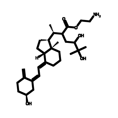 C=C1CC[C@H](O)C/C1=C/C=C1\CCC[C@]2(C)[C@@H]([C@H](C)C(CC(O)C(C)(C)O)C(=O)OCCN)CC[C@@H]12